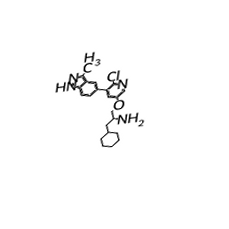 Cc1n[nH]c2ccc(-c3cc(OC[C@@H](N)CC4CCCCC4)cnc3Cl)cc12